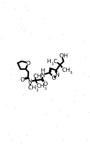 CN(C(=O)CC1CCCO1)C(C)(C)C(=O)Nc1cc(C(C)(C)CO)no1